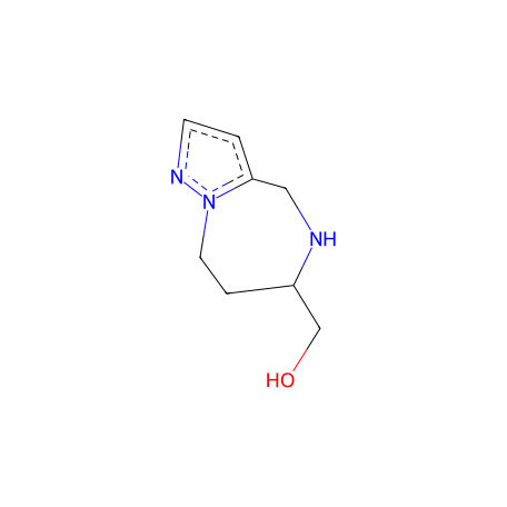 OCC1CCn2nccc2CN1